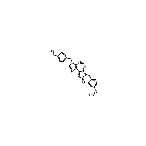 N=Nc1ccc(Cn2c3ncnc4c(ncn4Cc4ccc(N=N)cc4)c-3nc2=O)cc1